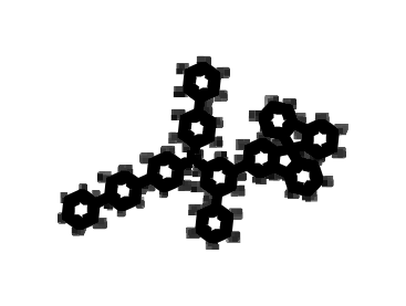 c1ccc(-c2ccc(-c3ccc(N(c4ccc(-c5ccccc5)cc4)c4cc(-c5ccccc5)cc(-c5ccc6c(c5)-c5ccccc5C65c6ccccc6-c6ccccc65)c4)cc3)cc2)cc1